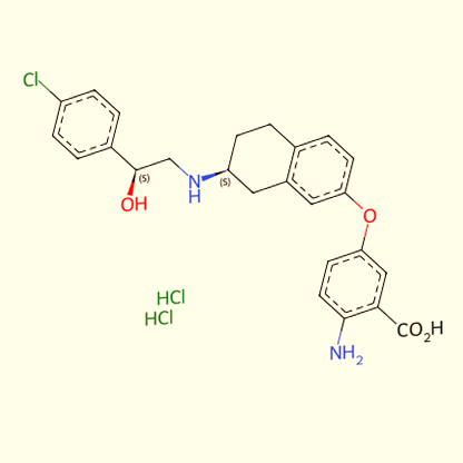 Cl.Cl.Nc1ccc(Oc2ccc3c(c2)C[C@@H](NC[C@@H](O)c2ccc(Cl)cc2)CC3)cc1C(=O)O